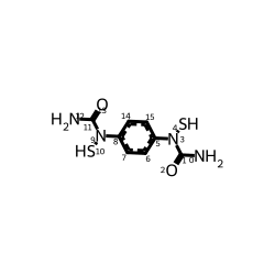 NC(=O)N(S)c1ccc(N(S)C(N)=O)cc1